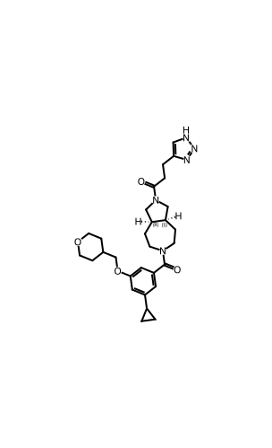 O=C(CCc1c[nH]nn1)N1C[C@H]2CCN(C(=O)c3cc(OCC4CCOCC4)cc(C4CC4)c3)CC[C@H]2C1